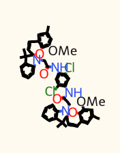 COc1cc(C)cc2c1OC1(C=C2)N(CC(=O)Nc2cc(Cl)c(NC(=O)CN3c4ccccc4C(C)(C)C34C=Cc3cc(C)cc(OC)c3O4)cc2Cl)c2ccccc2C1(C)C